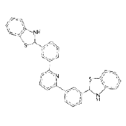 c1cc(-c2cccc(-c3cccc(C4Nc5ccccc5S4)c3)n2)cc(C2Nc3ccccc3S2)c1